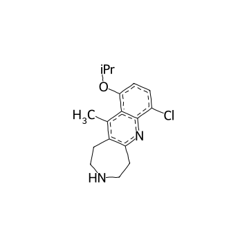 Cc1c2c(nc3c(Cl)ccc(OC(C)C)c13)CCNCC2